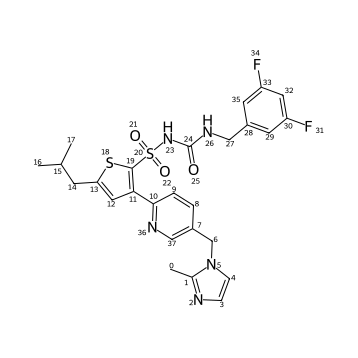 Cc1nccn1Cc1ccc(-c2cc(CC(C)C)sc2S(=O)(=O)NC(=O)NCc2cc(F)cc(F)c2)nc1